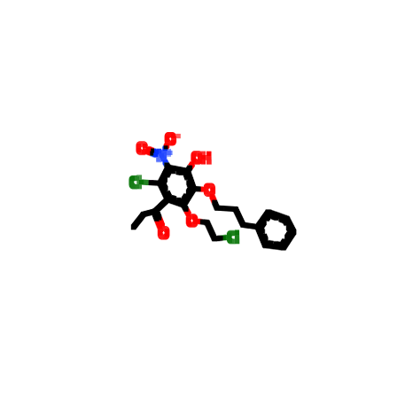 CCC(=O)c1c(Cl)c([N+](=O)[O-])c(O)c(OCCCc2ccccc2)c1OCCCl